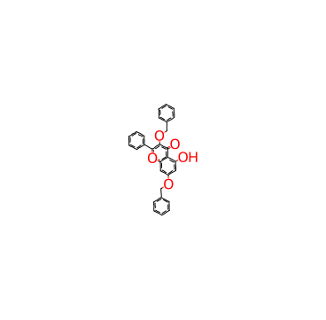 O=c1c(OCc2ccccc2)c(-c2ccccc2)oc2cc(OCc3ccccc3)cc(O)c12